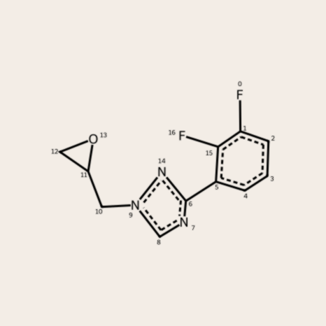 Fc1cccc(-c2ncn(CC3CO3)n2)c1F